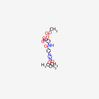 CCOC(=O)COc1ccc(NC(=O)c2ccc(N3CCN(C(=O)OC(C)(C)C)CC3)cc2)cc1[N+](=O)[O-]